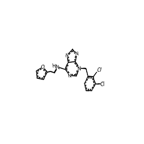 Clc1cccc(Cn2cnc(NCc3ccco3)c3ncnc2-3)c1Cl